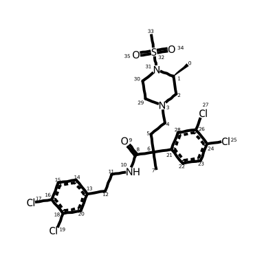 C[C@H]1CN(CCC(C)(C(=O)NCCc2ccc(Cl)c(Cl)c2)c2ccc(Cl)c(Cl)c2)CCN1S(C)(=O)=O